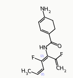 C=C(F)/C(NC(=O)C1=CC=C(N)CC1)=C(F)\C=C/C